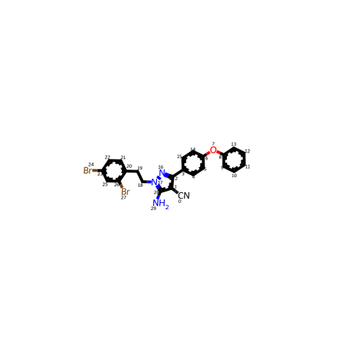 N#Cc1c(-c2ccc(Oc3ccccc3)cc2)nn(CCc2ccc(Br)cc2Br)c1N